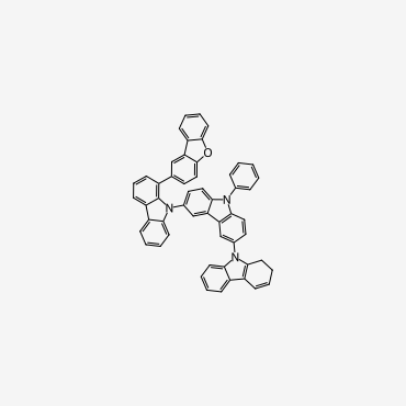 C1=Cc2c(n(-c3ccc4c(c3)c3cc(-n5c6ccccc6c6cccc(-c7ccc8oc9ccccc9c8c7)c65)ccc3n4-c3ccccc3)c3ccccc23)CC1